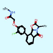 CCCNC(=O)COc1ccc(C2=CC=CC3C(=O)N4C(=C23)OC(=O)C4C(C)C)cc1F